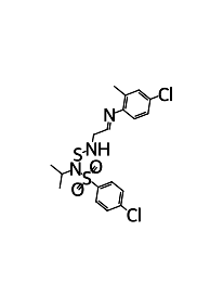 Cc1cc(Cl)ccc1N=CCNSN(C(C)C)S(=O)(=O)c1ccc(Cl)cc1